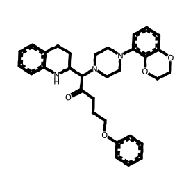 O=C(CCCOc1ccccc1)C(C1CCc2ccccc2N1)N1CCN(c2cccc3c2OCCO3)CC1